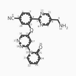 N#Cc1ccc(-c2ncc(CN)cn2)c(Oc2cnnc(-n3ccccc3=O)c2)c1